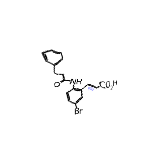 O=C(O)/C=C/c1cc(Br)ccc1NC(=O)CCc1ccccc1